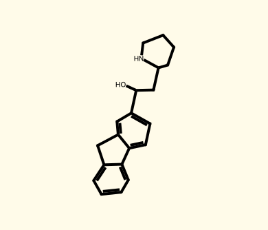 OC(CC1CCCCN1)c1ccc2c(c1)Cc1ccccc1-2